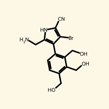 N#Cc1[nH]c(CN)c(-c2ccc(CO)c(CO)c2CO)c1Br